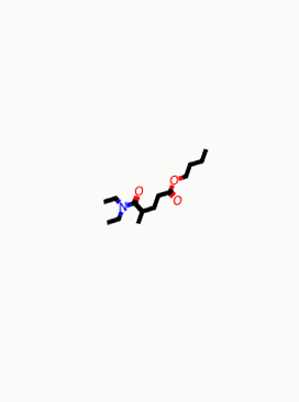 CCCCOC(=O)CCC(C)C(=O)N(CC)CC